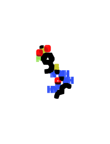 Cc1cc(C(C)NC(=O)Nc2nc(C)c(-c3ccc(S(C)(=O)=O)c(F)c3)s2)n[nH]1